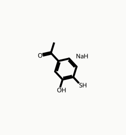 CC(=O)c1ccc(S)c(O)c1.[NaH]